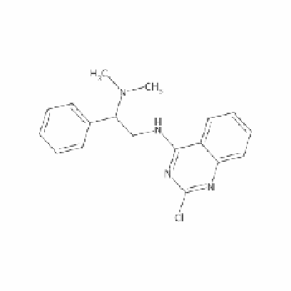 CN(C)C(CNc1nc(Cl)nc2ccccc12)c1ccccc1